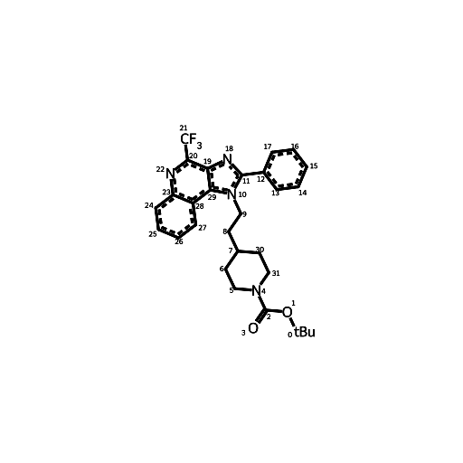 CC(C)(C)OC(=O)N1CCC(CCn2c(-c3ccccc3)nc3c(C(F)(F)F)nc4ccccc4c32)CC1